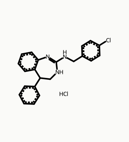 Cl.Clc1ccc(CNC2=Nc3ccccc3C(c3ccccc3)CN2)cc1